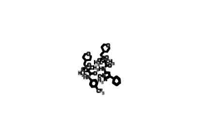 CC(C)(C(=O)Nc1ccc(C(F)(F)F)cc1)S(=O)(=O)CC1CCOCC1.Cn1nc(-c2ccccc2)cc1NC(=O)C(C)(C)S(=O)(=O)CC1CCOCC1